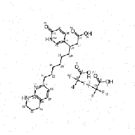 O=C(O)C(F)(F)F.O=C(O)C(F)(F)F.O=C(O)CC(CCCCCCc1ccc2c(n1)NCCC2)c1ccc(=O)[nH]c1